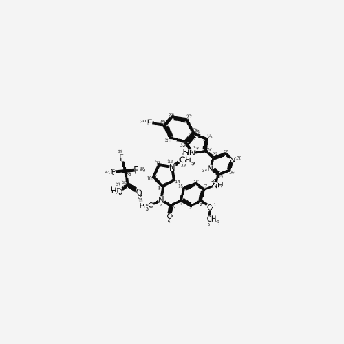 COc1cc(C(=O)N(C)C2CCN(C)C2)ccc1Nc1cncc(-c2cc3ccc(F)cc3[nH]2)n1.O=C(O)C(F)(F)F